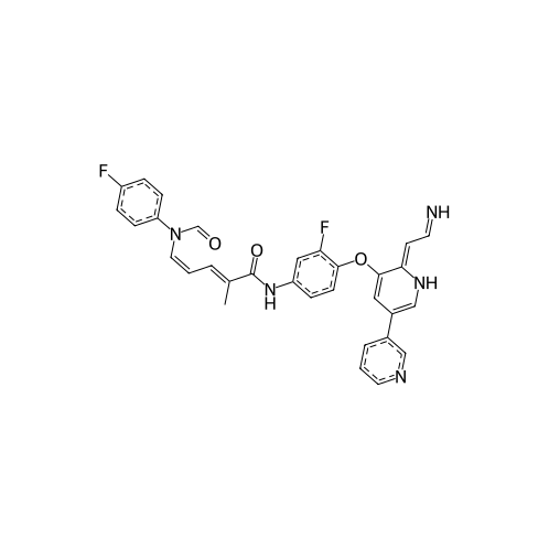 C/C(=C\C=C/N(C=O)c1ccc(F)cc1)C(=O)Nc1ccc(OC2=CC(c3cccnc3)=CN/C2=C\C=N)c(F)c1